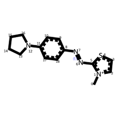 C[n+]1ccsc1/N=N/c1ccc(N2CCCC2)cc1